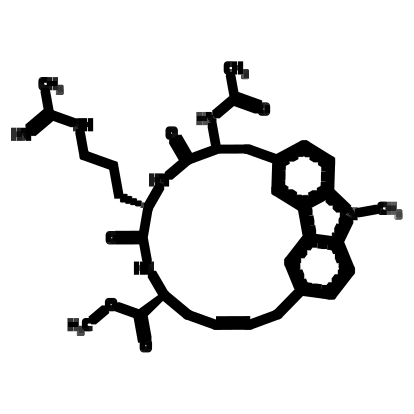 COC(=O)[C@@H]1CC=CCc2ccc3c(c2)c2cc(ccc2n3C)CC(NC(C)=O)C(=O)N[C@@H](CCCNC(C)=N)C(=O)N1